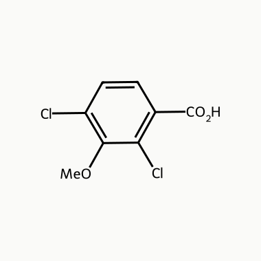 COc1c(Cl)ccc(C(=O)O)c1Cl